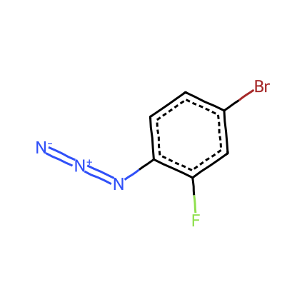 [N-]=[N+]=Nc1ccc(Br)cc1F